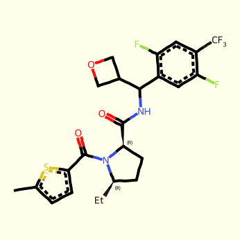 CC[C@@H]1CC[C@H](C(=O)NC(c2cc(F)c(C(F)(F)F)cc2F)C2COC2)N1C(=O)c1ccc(C)s1